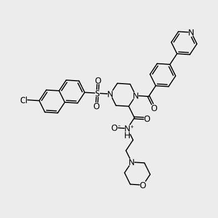 O=C(c1ccc(-c2ccncc2)cc1)N1CCN(S(=O)(=O)c2ccc3cc(Cl)ccc3c2)CC1C(=O)[NH+]([O-])CCN1CCOCC1